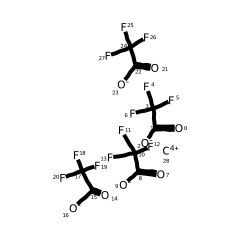 O=C([O-])C(F)(F)F.O=C([O-])C(F)(F)F.O=C([O-])C(F)(F)F.O=C([O-])C(F)(F)F.[C+4]